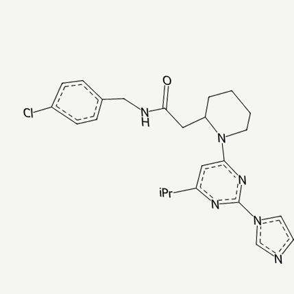 CC(C)c1cc(N2CCCCC2CC(=O)NCc2ccc(Cl)cc2)nc(-n2ccnc2)n1